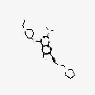 COc1cc2c(NC3CCN(CCO)CC3)nc(N(C)C)nc2cc1C#CCCN1CCCC1